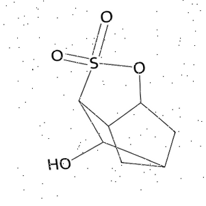 O=S1(=O)OC2CC3CC2C1C3O